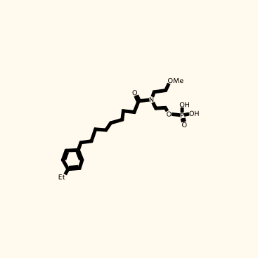 CCc1ccc(CCCCCCCCC(=O)N(CCOC)CCOP(=O)(O)O)cc1